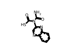 NC(=O)N(C(=O)S)c1cnc2ccccc2n1